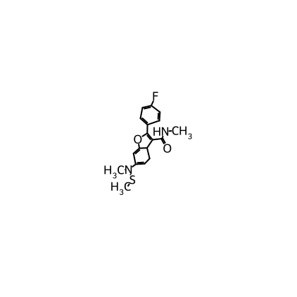 CNC(=O)C1=C(c2ccc(F)cc2)OC2=CC(N(C)SC)=CCC21